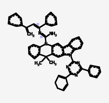 C=C(/C=C(\N=C(/N)N1c2ccccc2C(C)(C)c2cc3c(cc21)c1ccccc1n3-c1nc(C2=CCCC=C2)nc(-c2ccccc2)n1)c1ccccc1)c1ccccc1